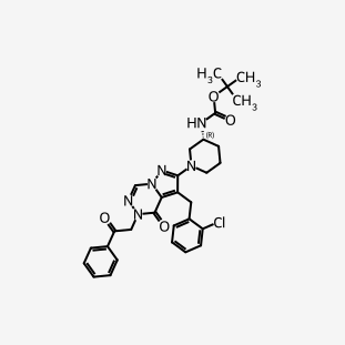 CC(C)(C)OC(=O)N[C@@H]1CCCN(c2nn3cnn(CC(=O)c4ccccc4)c(=O)c3c2Cc2ccccc2Cl)C1